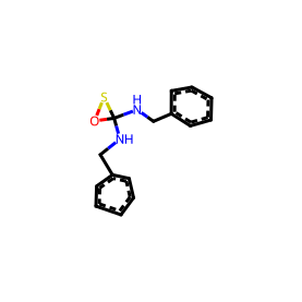 c1ccc(CNC2(NCc3ccccc3)OS2)cc1